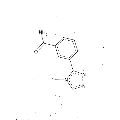 Cn1cnnc1-c1cccc(C(N)=O)c1